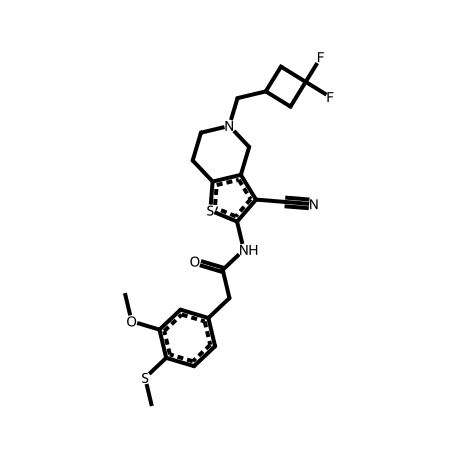 COc1cc(CC(=O)Nc2sc3c(c2C#N)CN(CC2CC(F)(F)C2)CC3)ccc1SC